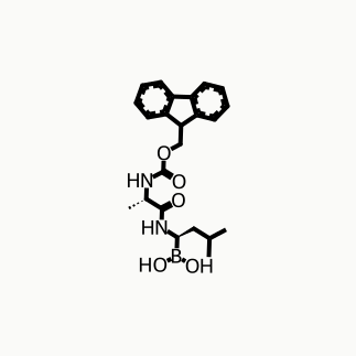 CC(C)C[C@H](NC(=O)[C@H](C)NC(=O)OCC1c2ccccc2-c2ccccc21)B(O)O